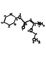 CCOC(N)=CC(=O)OC1CCCCC1